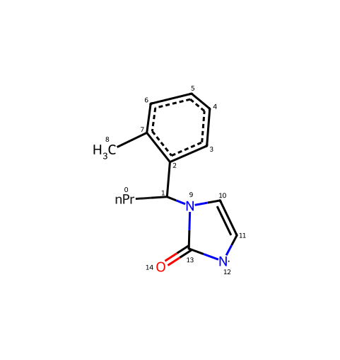 CCCC(c1ccccc1C)N1C=C[N]C1=O